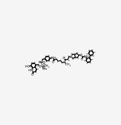 CN(CCCCC(=O)Nc1ccc(CNC[C@H](O[Si](C)(C)C(C)(C)C)c2ccc(O)c3[nH]c(=O)ccc23)cc1)C(=O)CCN1CC2CC(OC(=O)Nc3ccccc3-c3ccccc3)CC2C1